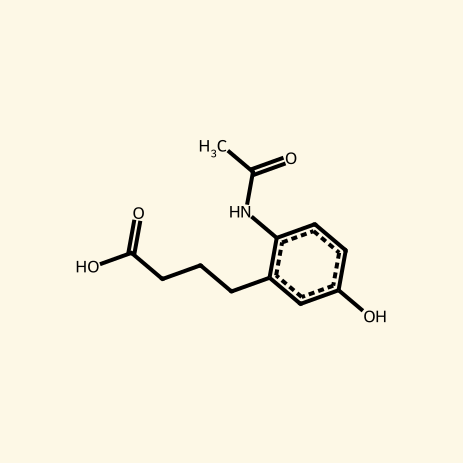 CC(=O)Nc1ccc(O)cc1CCCC(=O)O